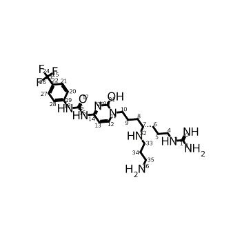 N=C(N)NCCC[C@@H](CCCN1C=CC(NC(=O)Nc2ccc(C(F)(F)F)cc2)=NC1O)NCCCN